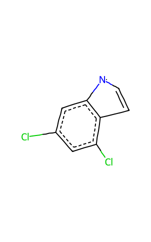 Clc1cc(Cl)c2c(c1)[N]C=C2